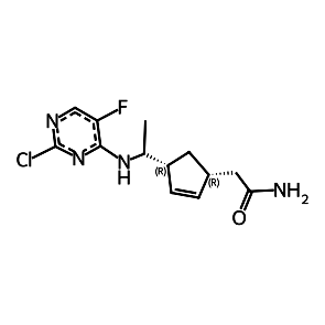 CC(Nc1nc(Cl)ncc1F)[C@H]1C=C[C@@H](CC(N)=O)C1